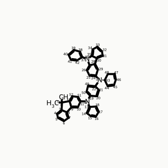 CC1(C)c2ccccc2-c2cc(N(c3ccccc3)c3ccc(N(c4ccc5c(c4)c4ccccc4n5-c4ccccc4)[C@H]4C=CC=CC4)cc3)ccc21